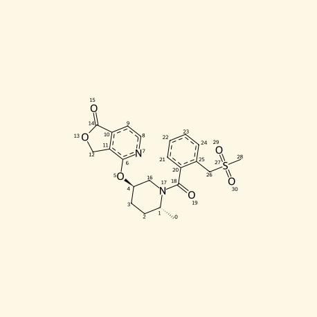 C[C@@H]1CC[C@@H](Oc2nccc3c2COC3=O)CN1C(=O)c1ccccc1CS(C)(=O)=O